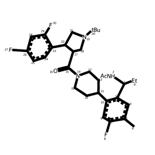 CCC(NC(C)=O)c1cc(C)c(F)cc1C1CCN(C(=O)C2CN(C(C)(C)C)CC2c2ccc(F)cc2F)CC1